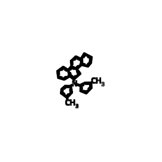 Cc1cccc(N(c2cccc(C)c2)c2cc3c4ccccc4ccc3c3ccccc23)c1